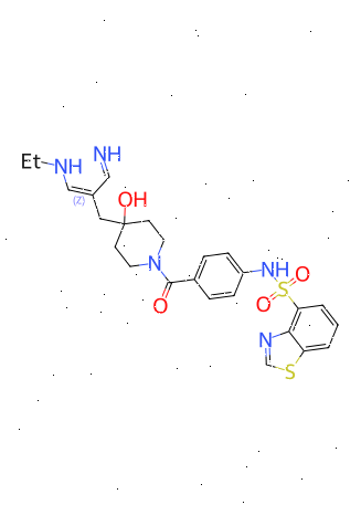 CCN/C=C(\C=N)CC1(O)CCN(C(=O)c2ccc(NS(=O)(=O)c3cccc4scnc34)cc2)CC1